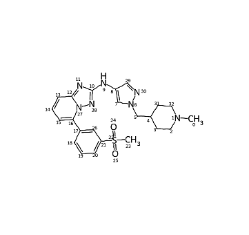 CN1CCC(Cn2cc(Nc3nc4cccc(-c5cccc(S(C)(=O)=O)c5)n4n3)cn2)CC1